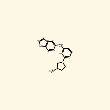 N[C@@H]1CCN(c2nccc(Nc3ccc4[nH]ncc4c3)n2)C1